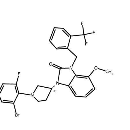 COc1cccc2c1n(Cc1ccccc1C(F)(F)F)c(=O)n2[C@@H]1CCN(c2c(F)cccc2Br)C1